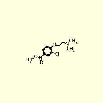 CO[N+](=O)c1ccc(OCCN(C)C)c(Cl)c1